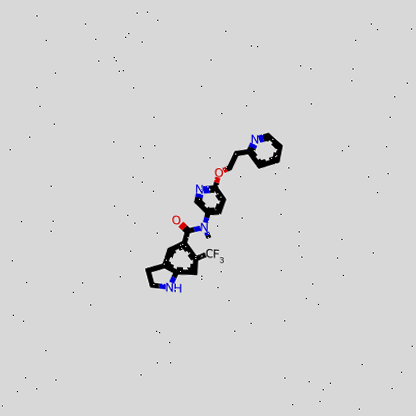 CN(C(=O)c1cc2c(cc1C(F)(F)F)NCC2)c1ccc(OCCc2ccccn2)nc1